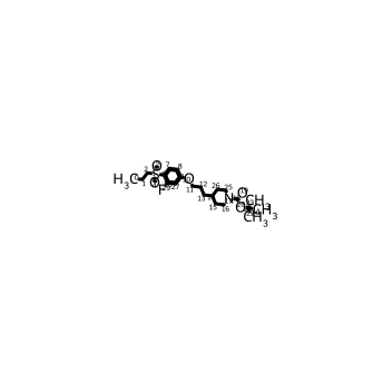 CCCS(=O)(=O)c1ccc(OCCCC2CCN(C(=O)OC(C)(C)C)CC2)cc1F